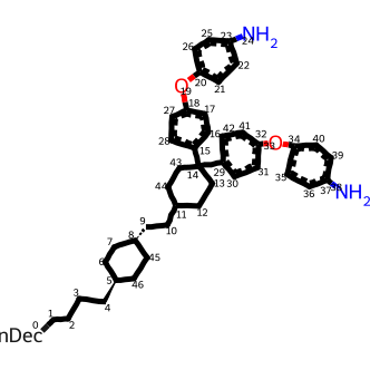 CCCCCCCCCCCCCC[C@H]1CC[C@H](CCC2CCC(c3ccc(Oc4ccc(N)cc4)cc3)(c3ccc(Oc4ccc(N)cc4)cc3)CC2)CC1